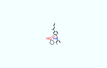 C=C/C=C(\C)c1ccc(CN(C(=O)[C@@H]2CCCC[C@@H]2O)/C(C=C)=C/C)cc1